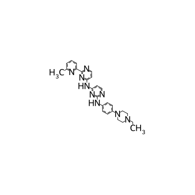 CCN1CCN(c2ccc(Nc3nccc(Nc4ccnc(-c5cccc(C)n5)n4)n3)cc2)CC1